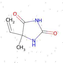 C=CC1(C)NC(=O)NC1=O